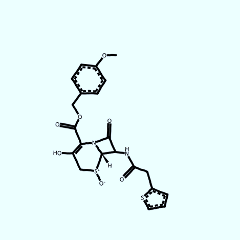 COc1ccc(COC(=O)C2=C(O)C[S+]([O-])[C@H]3C(NC(=O)Cc4cccs4)C(=O)N23)cc1